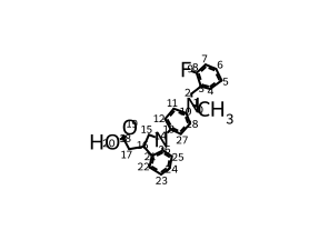 CN(Cc1ccccc1F)c1ccc(N2CC(CC(=O)O)c3ccccc32)cc1